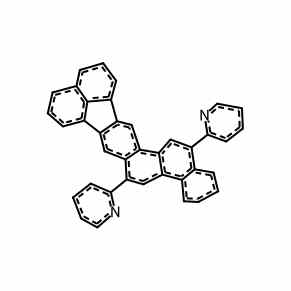 c1ccc(-c2cc3c4cc5c(cc4c(-c4ccccn4)cc3c3ccccc23)-c2cccc3cccc-5c23)nc1